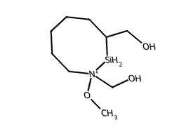 CO[N+]1(CO)CCCCCC(CO)[SiH2]1